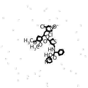 COc1ccc(C(Cc2c(Cl)c[n+]([O-])cc2Cl)OC(=O)c2csc(CN[C@H](C(=O)O[C@H]3CN4CCC3CC4)c3ccccc3)c2)cc1OC